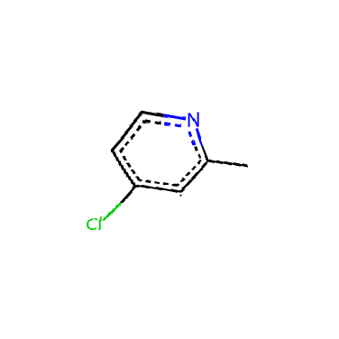 Cc1[c]c(Cl)ccn1